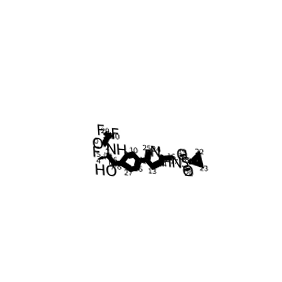 O=C(N[C@H](CF)[C@@H](O)c1ccc(-c2ccc(CNS(=O)(=O)C3CC3)nc2)cc1)C(F)F